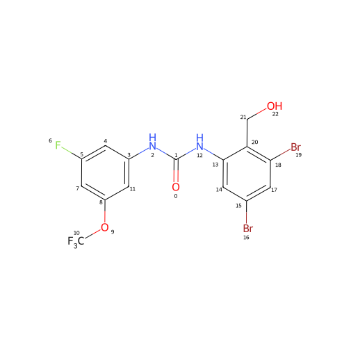 O=C(Nc1cc(F)cc(OC(F)(F)F)c1)Nc1cc(Br)cc(Br)c1CO